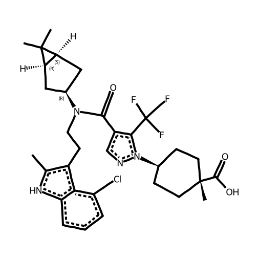 Cc1[nH]c2cccc(Cl)c2c1CCN(C(=O)c1cnn([C@H]2CC[C@](C)(C(=O)O)CC2)c1C(F)(F)F)[C@H]1C[C@@H]2[C@H](C1)C2(C)C